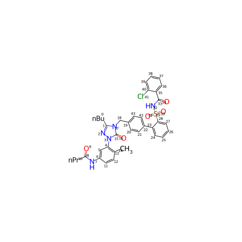 CCCCc1nn(-c2cc(NC(=O)CCC)ccc2C)c(=O)n1Cc1ccc(-c2ccccc2S(=O)(=O)NC(=O)c2ccccc2Cl)cc1